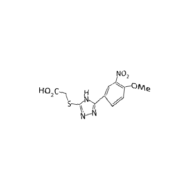 COc1ccc(-c2nnc(SCC(=O)O)[nH]2)cc1[N+](=O)[O-]